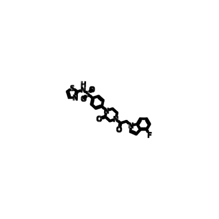 O=C(Cn1ccc2c(F)cccc21)N1CCN(c2ccc(S(=O)(=O)Nc3nccs3)cc2)C(=O)C1